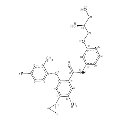 Cc1cc(F)ccc1Oc1cc(C2CC2)c(C)cc1C(=O)Nc1ccnc(OC[C@@H](O)CO)c1